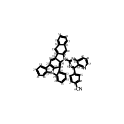 N#Cc1ccc(-c2nc(-n3c4cc5ccccc5cc4c4cc5c6ccccc6n6c7ccccc7c(c43)c56)nc3cccnc23)cc1